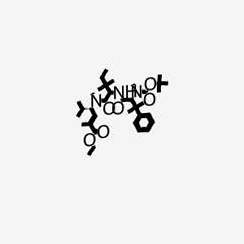 CCOC(=O)/C(C)=C/[C@H](C(C)C)N(C)C(=O)C(NC(=O)[C@@H](N(C)C(=O)OC(C)(C)C)C(C)(C)c1ccccc1)C(C)(C)CC